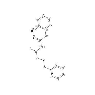 CC(CCCc1cccnc1)NC(=O)Cc1ccccc1O